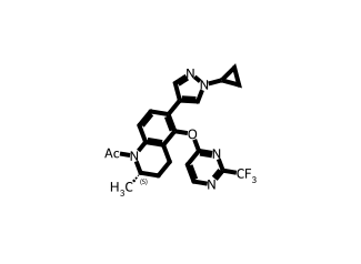 CC(=O)N1c2ccc(-c3cnn(C4CC4)c3)c(Oc3ccnc(C(F)(F)F)n3)c2CC[C@@H]1C